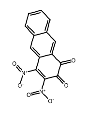 O=C1C(=O)c2cc3ccccc3cc2C([N+](=O)[O-])=C1[N+](=O)[O-]